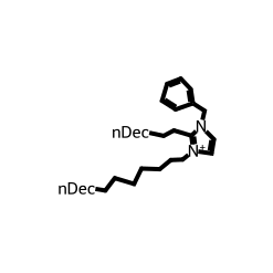 CCCCCCCCCCCCCCCCC[n+]1ccn(Cc2ccccc2)c1CCCCCCCCCCCC